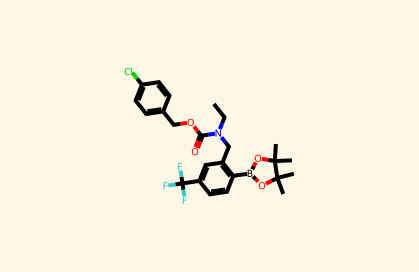 CCN(Cc1cc(C(F)(F)F)ccc1B1OC(C)(C)C(C)(C)O1)C(=O)OCc1ccc(Cl)cc1